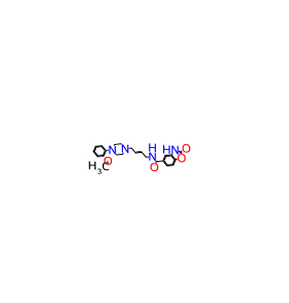 COc1ccccc1N1CCN(C/C=C/CNC(=O)c2ccc3oc(=O)[nH]c3c2)CC1